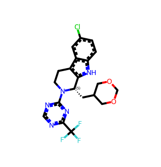 FC(F)(F)c1ncnc(N2CCc3c([nH]c4ccc(Cl)cc34)[C@@H]2CC2COCOC2)n1